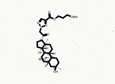 COCCCOC(=O)c1cnn(CC(=O)[C@H]2CC[C@H]3[C@@H]4CC[C@H]5C[C@](C)(O)CC[C@]5(COC)[C@H]4CC[C@]23C)n1